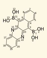 OB(O)c1c2ccccc2c(B(O)O)c2nc3ccccc3nc12